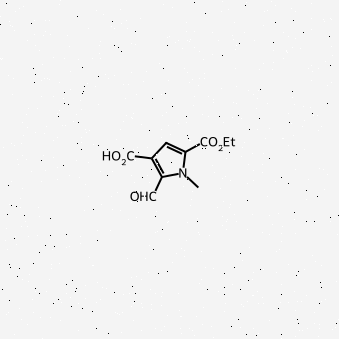 CCOC(=O)c1cc(C(=O)O)c(C=O)n1C